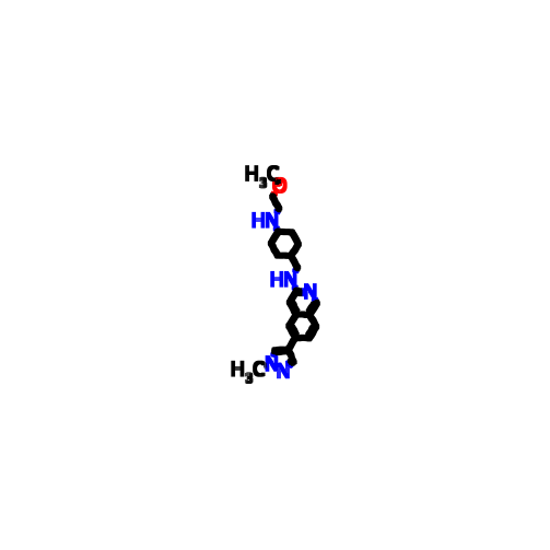 COCCNC1CCC(CNc2cc3cc(-c4cnn(C)c4)ccc3cn2)CC1